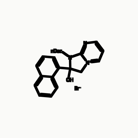 CCCCCCCCCCN1c2nccc[n+]2CC1(O)c1cccc2ccccc12.[Br-]